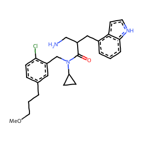 COCCCc1ccc(Cl)c(CN(C(=O)C(CN)Cc2cccc3[nH]ccc23)C2CC2)c1